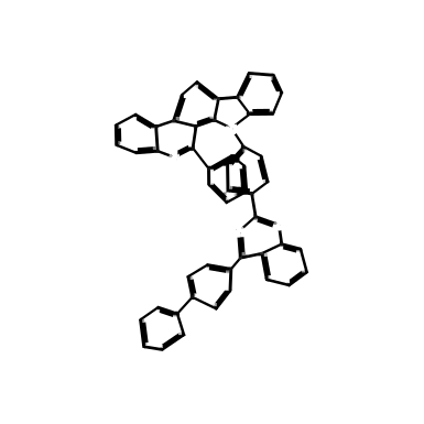 c1ccc(-c2ccc(-c3nc(-c4ccc(-n5c6ccccc6c6ccc7c8ccccc8nc(-c8ccccc8)c7c65)cc4)nc4ccccc34)cc2)cc1